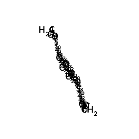 C=CC(=O)OCCCCCCCCCCOc1ccc(OC(=O)c2ccc(OC(=O)C3CCC(OCCCCCCCCCCOC(=O)C=C)CC3)cc2)cc1